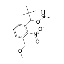 COCc1cccc(C(O[SiH](C)C)C(C)(C)C)c1[N+](=O)[O-]